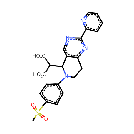 CS(=O)(=O)c1ccc(N2CCc3nc(-c4ccccn4)ncc3C2C(C(=O)O)C(=O)O)cc1